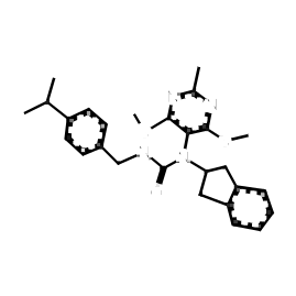 CSc1nc(C)nc(SC)c1N(C(=O)NCc1ccc(C(C)C)cc1)C1Cc2ccccc2C1